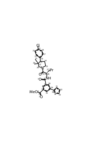 COC(=O)c1cc(C(=O)N[C@@H](C(=O)N2CCC(c3ccc(Cl)cc3)C(C)(C)C2)C(C)C)cc(-c2cccs2)c1